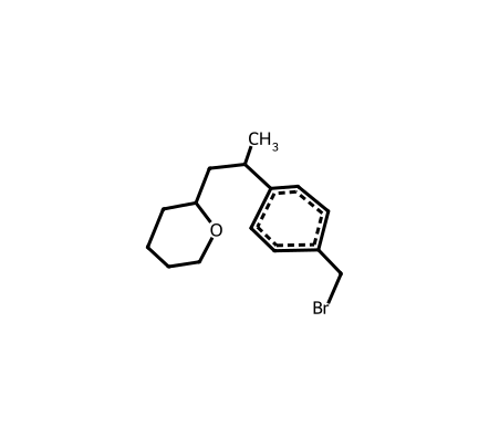 CC(CC1CCCCO1)c1ccc(CBr)cc1